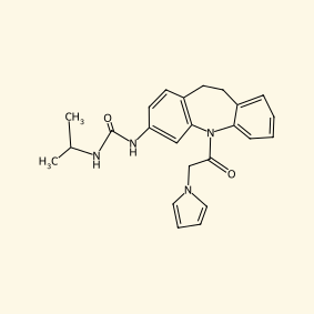 CC(C)NC(=O)Nc1ccc2c(c1)N(C(=O)Cn1cccc1)c1ccccc1CC2